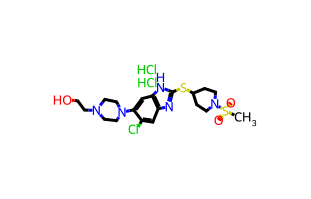 CS(=O)(=O)N1CCC(Sc2nc3cc(Cl)c(N4CCN(CCO)CC4)cc3[nH]2)CC1.Cl.Cl